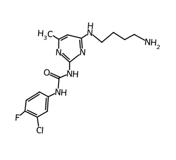 Cc1cc(NCCCCN)nc(NC(=O)Nc2ccc(F)c(Cl)c2)n1